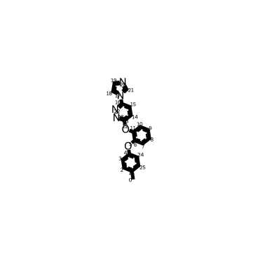 Cc1ccc(Oc2ccccc2Oc2ccc(-n3ccnc3)nn2)cc1